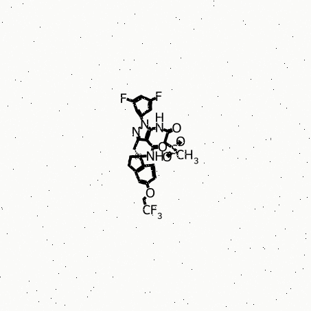 CS(=O)(=O)CC(=O)Nc1c2c(nn1-c1cc(F)cc(F)c1)C[C@]1(CCc3cc(OCC(F)(F)F)ccc31)NC2=O